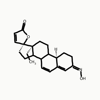 CC[C@]12CCC3C(C=CC4=CC(=NO)CC[C@@H]43)C1CC[C@@]21C=CC(=O)O1